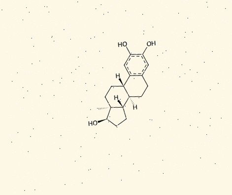 C[C@]12CC[C@@H]3c4cc(O)c(O)cc4CC[C@H]3[C@@H]1CC[C@H]2O